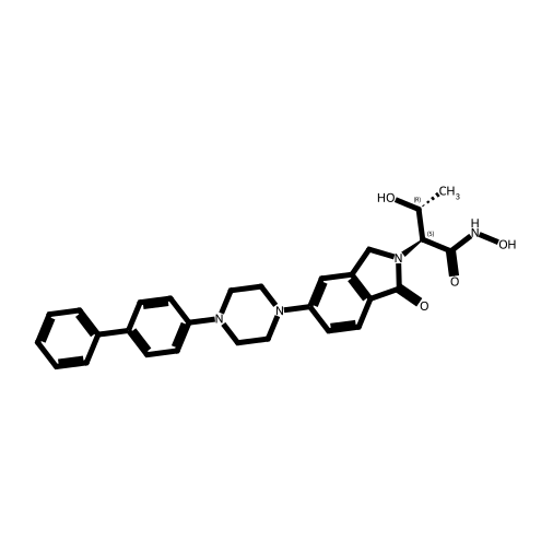 C[C@@H](O)[C@@H](C(=O)NO)N1Cc2cc(N3CCN(c4ccc(-c5ccccc5)cc4)CC3)ccc2C1=O